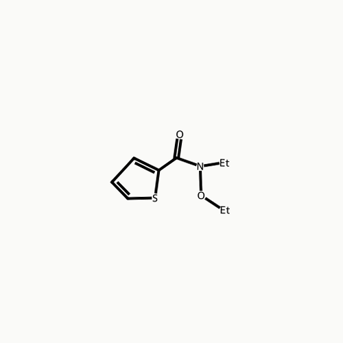 CCON(CC)C(=O)c1cccs1